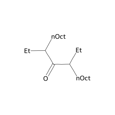 CCCCCCCCC(CC)C(=O)C(CC)CCCCCCCC